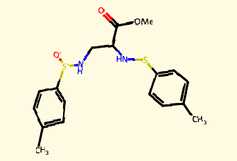 COC(=O)C(CN[S+]([O-])c1ccc(C)cc1)NSc1ccc(C)cc1